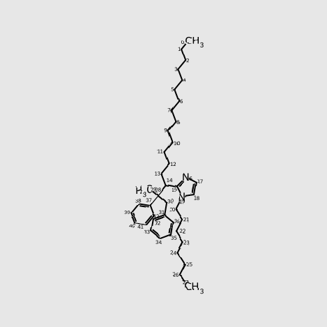 CCCCCCCCCCCCCCC(c1nccn1CCCCCCCC)C(C)(Cc1ccccc1)c1ccccc1